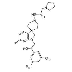 O=C(CN1CCCC1)NN1CCC(COCC(O)c2cc(C(F)(F)F)cc(C(F)(F)F)c2)(c2ccc(F)cc2)CC1